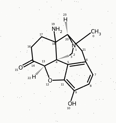 CN1CC[C@]23c4c5ccc(O)c4O[C@H]2C(=O)CCC3(N)[C@H]1C5